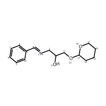 OC(C/N=C/c1ccccc1)COC1CCCCO1